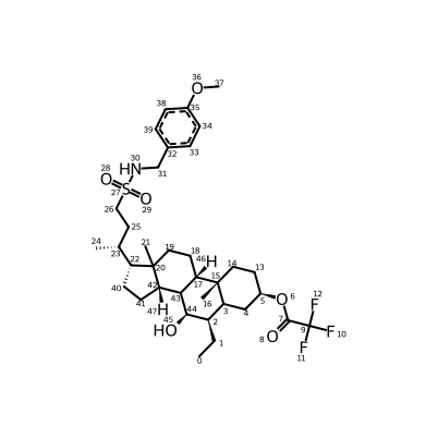 CC[C@@H]1C2C[C@H](OC(=O)C(F)(F)F)CC[C@@]2(C)[C@H]2CCC3(C)[C@@H]([C@H](C)CCS(=O)(=O)NCc4ccc(OC)cc4)CC[C@H]3C2[C@@H]1O